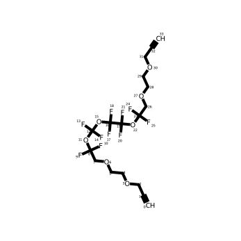 C#CCOCCOCC(F)(F)OC(F)(F)OC(F)(F)C(F)(F)OC(F)(F)COCCOCC#C